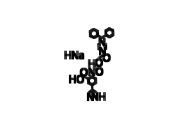 O=C(COCC(=O)N1CCN(C(c2ccccc2)c2ccccc2)CC1)Nc1ccc(-c2cn[nH]c2)cc1C(=O)O.[NaH]